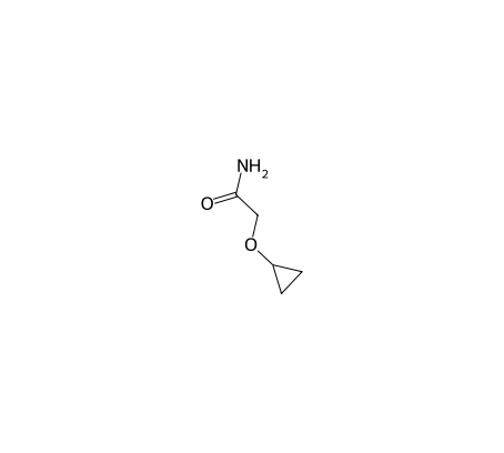 NC(=O)COC1CC1